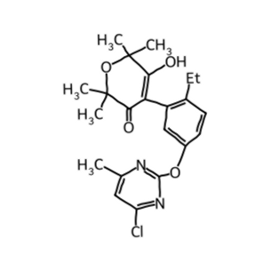 CCc1ccc(Oc2nc(C)cc(Cl)n2)cc1C1=C(O)C(C)(C)OC(C)(C)C1=O